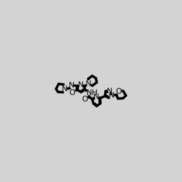 O=C(Nc1cc2oc(N3CCCCC3)nc2nc1N1CCCCC1)c1cccc(-c2cnn(C3CCCCO3)c2)n1